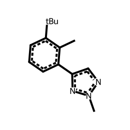 Cc1c(-c2cnn(C)n2)cccc1C(C)(C)C